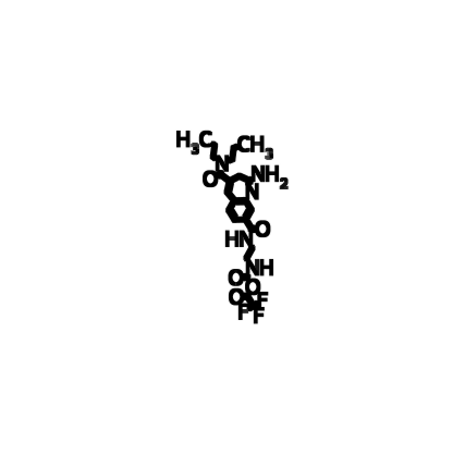 CCCN(CCC)C(=O)C1=Cc2ccc(C(=O)NCCNC(=O)OC(=O)C(F)(F)F)cc2N=C(N)C1